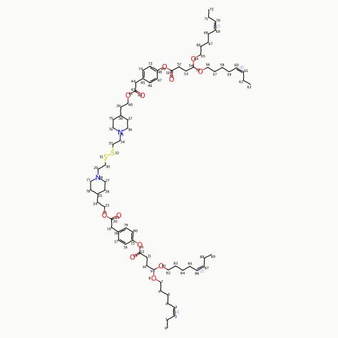 CC/C=C\CCCCOC(CCC(=O)Oc1ccc(CC(=O)OCCC2CCN(CCSSCCN3CCC(CCOC(=O)Cc4ccc(OC(=O)CCC(OCCCC/C=C\CC)OCCCC/C=C\CC)cc4)CC3)CC2)cc1)OCCCC/C=C\CC